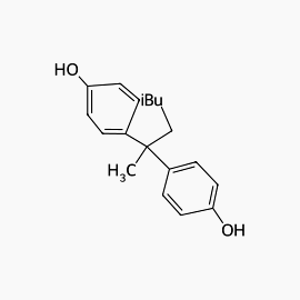 CCC(C)CC(C)(c1ccc(O)cc1)c1ccc(O)cc1